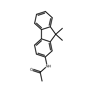 CC(=O)Nc1ccc2c(c1)C(C)(C)c1ccccc1-2